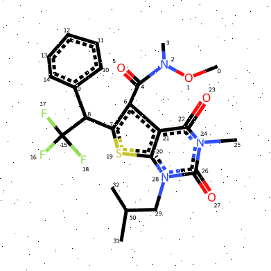 CON(C)C(=O)c1c(C(c2ccccc2)C(F)(F)F)sc2c1c(=O)n(C)c(=O)n2CC(C)C